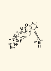 C[C@H](c1ccccc1C#CC1CNC1)n1c(=O)oc2cc(S(=O)(=O)Nc3ncns3)c(F)cc21